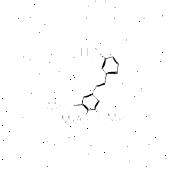 COc1cc(C=Cc2cccc(N)c2)cc(OC)c1OC